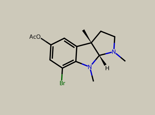 CC(=O)Oc1cc(Br)c2c(c1)[C@]1(C)CCN(C)[C@@H]1N2C